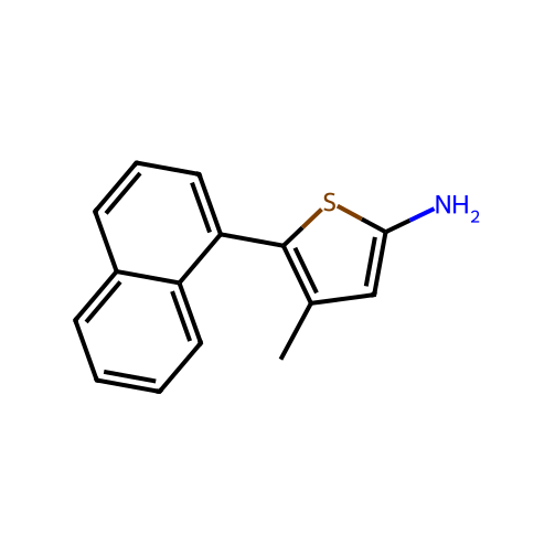 Cc1cc(N)sc1-c1cccc2ccccc12